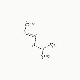 CC(C=O)CC=CC(=O)O